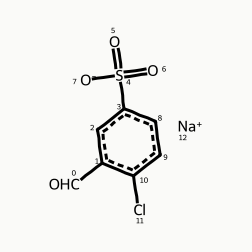 O=Cc1cc(S(=O)(=O)[O-])ccc1Cl.[Na+]